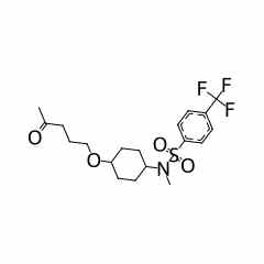 CC(=O)CCCOC1CCC(N(C)S(=O)(=O)c2ccc(C(F)(F)F)cc2)CC1